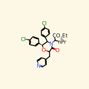 CCCC(C(=O)OCC)N1C(=O)C(Cc2ccncc2)O[C@@H](c2ccc(Cl)cc2)C1c1ccc(Cl)cc1